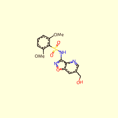 COc1cccc(OC)c1S(=O)(=O)Nc1noc2cc(CO)cnc12